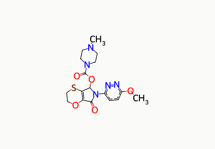 COc1ccc(N2C(=O)C3=C(SCCO3)C2OC(=O)N2CCN(C)CC2)nn1